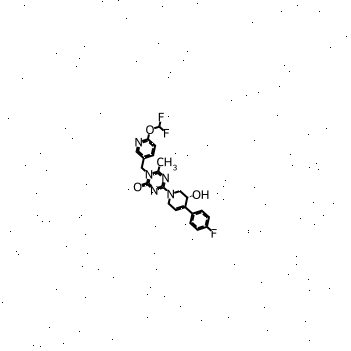 Cc1nc(N2CC=C(c3ccc(F)cc3)[C@@H](O)C2)nc(=O)n1Cc1ccc(OC(F)F)nc1